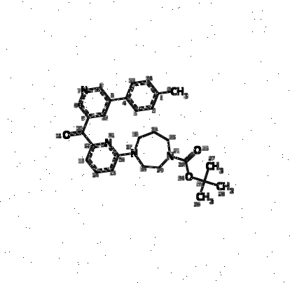 Cc1ccc(-c2cncc(C(=O)c3cccc(N4CCCN(C(=O)OC(C)(C)C)CC4)n3)c2)cc1